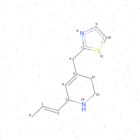 CC=CC1C=C(Cc2nccs2)CCN1